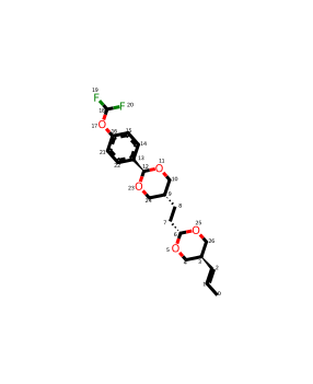 CC=C[C@H]1CO[C@H](CC[C@H]2CO[C@H](c3ccc(OC(F)F)cc3)OC2)OC1